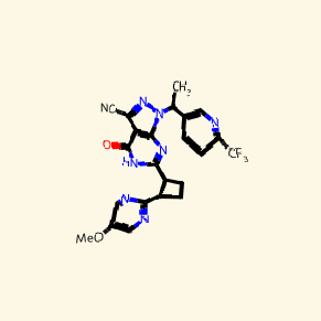 COc1cnc(C2CCC2c2nc3c(c(C#N)nn3C(C)c3ccc(C(F)(F)F)nc3)c(=O)[nH]2)nc1